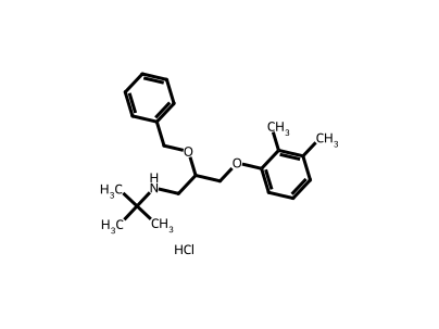 Cc1cccc(OCC(CNC(C)(C)C)OCc2ccccc2)c1C.Cl